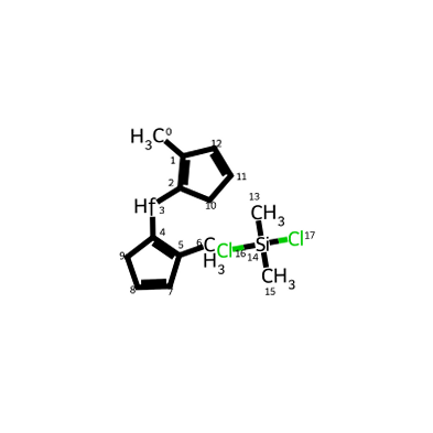 CC1=[C]([Hf][C]2=C(C)C=CC2)CC=C1.C[Si](C)(Cl)Cl